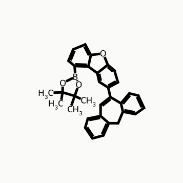 CC1(C)OB(c2cccc3oc4ccc(C5=Cc6ccccc6Cc6ccccc65)cc4c23)OC1(C)C